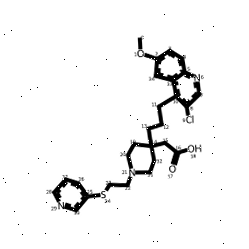 COc1ccc2ncc(Cl)c(CCCC3(CC(=O)O)CCN(CCSc4cccnc4)CC3)c2c1